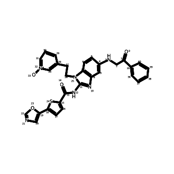 O=C(CNc1ccc2c(c1)nc(NC(=O)c1ccc(-c3cnco3)s1)n2CCc1ccc[n+]([O-])c1)c1ccccc1